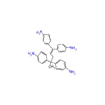 CC(CC=C(c1ccc(N)cc1)c1ccc(N)cc1)(c1ccc(N)cc1)c1ccc(N)cc1